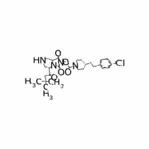 CC(C)(C)CC(=O)C1CNCC2C(=O)N(OC(=O)N3CCC(CCc4ccc(Cl)cc4)CC3)C(=O)N12